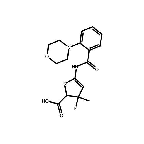 CC1(F)C=C(NC(=O)c2ccccc2N2CCOCC2)SC1C(=O)O